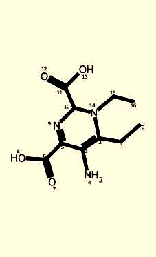 CCC1=C(N)C(C(=O)O)=NC(C(=O)O)N1CC